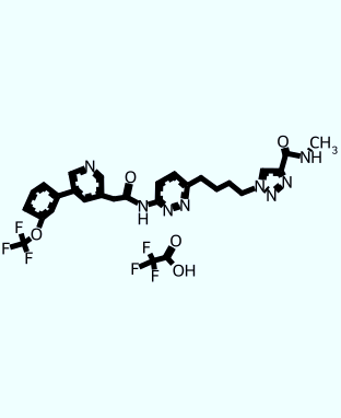 CNC(=O)c1cn(CCCCc2ccc(NC(=O)Cc3cncc(-c4cccc(OC(F)(F)F)c4)c3)nn2)nn1.O=C(O)C(F)(F)F